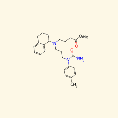 COC(=O)CCCN(CCCN(C(N)=O)c1ccc(C)cc1)C1CCCc2ccccc21